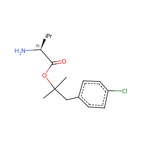 CC(C)[C@H](N)C(=O)OC(C)(C)Cc1ccc(Cl)cc1